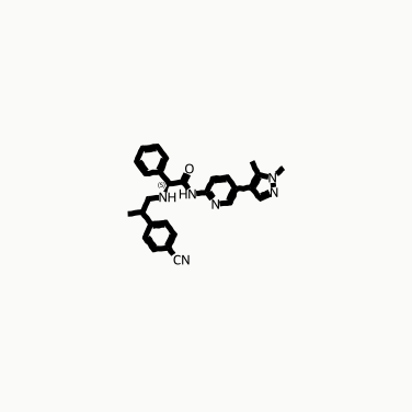 Cc1c(-c2ccc(NC(=O)[C@@H](NCC(C)c3ccc(C#N)cc3)c3ccccc3)nc2)cnn1C